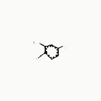 Cc1ccc([N+](=O)[O-])c(C(F)(F)F)c1